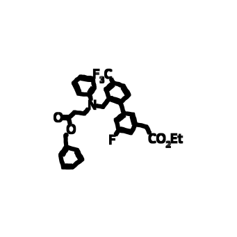 CCOC(=O)Cc1cc(F)cc(-c2ccc(C(F)(F)F)cc2CN(CCC(=O)OCc2ccccc2)c2ccccc2)c1